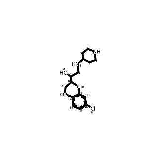 OC(CNC1CCNCC1)C1COc2ccc(Cl)cc2O1